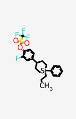 CCC[Si]1(c2ccccc2)CCC(c2ccc(OS(=O)(=O)C(F)(F)F)c(F)c2)CC1